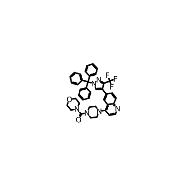 O=C(N1CCOCC1)N1CCN(c2ccnc3ccc(-c4cn(C(c5ccccc5)(c5ccccc5)c5ccccc5)nc4C(F)(F)F)cc23)CC1